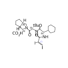 CC(C)(C)[C@H](NC(=O)[C@@H](NC(=O)/C(I)=C/I)C1CCCCC1)C(=O)N1C[C@@H]2CCC[C@@H]2[C@H]1C(=O)O